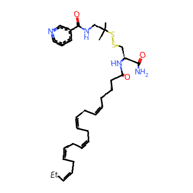 CC/C=C\C/C=C\C/C=C\C/C=C\C/C=C\CCCC(=O)N[C@@H](CSSC(C)(C)CNC(=O)c1cccnc1)C(N)=O